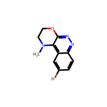 CN1CCOc2nnc3ccc(Br)cc3c21